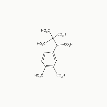 O=C(O)c1ccc(C(C(=O)O)C(C(=O)O)(C(=O)O)C(=O)O)cc1C(=O)O